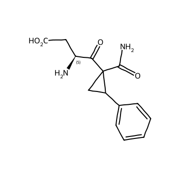 NC(=O)C1(C(=O)[C@@H](N)CC(=O)O)CC1c1ccccc1